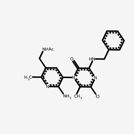 CC(=O)NCc1cc(-n2c(C)c(Cl)nc(NCc3ccccc3)c2=O)c(N)nc1C